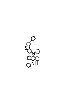 c1ccc(Nc2c3ccccc3c(N(c3ccccc3)c3ccc4sc5ccc(-c6ccccc6)cc5c4c3)c3ccccc23)cc1